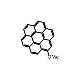 COc1cc2ccc3ccc4ccc5ccc6ccc1c1c6c5c4c3c21